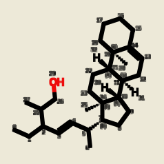 CCC(C=CC(C)[C@H]1CC[C@H]2[C@@H]3CC=C4CCCC[C@]4(C)[C@H]3CC[C@]12C)C(C)CO